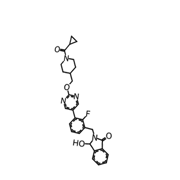 O=C(C1CC1)N1CCC(COc2ncc(-c3cccc(CN4C(=O)c5ccccc5C4O)c3F)cn2)CC1